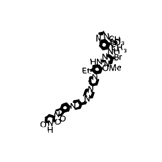 CCc1cc(Nc2ncc(Br)c(Nc3ccc4nccnc4c3P(C)(C)=O)n2)c(OC)cc1N1CCC(N2CCN(CC3CCN(c4ccc5c(c4)C(=O)N(C4CCC(=O)NC4=O)C5)CC3)CC2)CC1